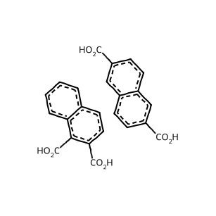 O=C(O)c1ccc2cc(C(=O)O)ccc2c1.O=C(O)c1ccc2ccccc2c1C(=O)O